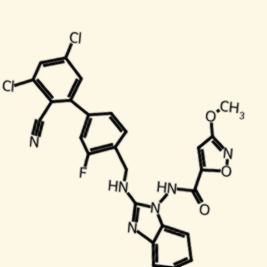 COc1cc(C(=O)Nn2c(NCc3ccc(-c4cc(Cl)cc(Cl)c4C#N)cc3F)nc3ccccc32)on1